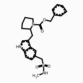 CNS(=O)(=O)Cc1ccc2[nH]cc(CC3CCCCN3C(=O)OCc3ccccc3)c2c1